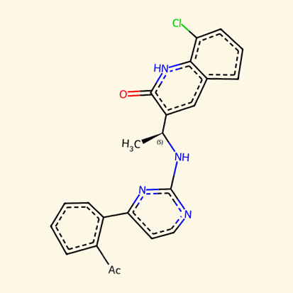 CC(=O)c1ccccc1-c1ccnc(N[C@@H](C)c2cc3cccc(Cl)c3[nH]c2=O)n1